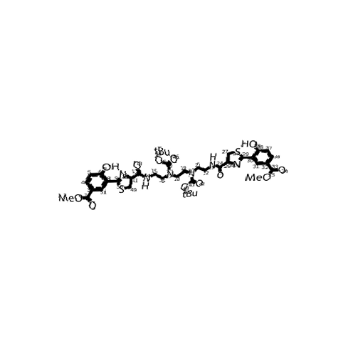 COC(=O)c1ccc(O)c(C2=NC(C(=O)NCCN(CCN(CCNC(=O)C3CSC(c4cc(C(=O)OC)ccc4O)=N3)C(=O)OC(C)(C)C)C(=O)OC(C)(C)C)CS2)c1